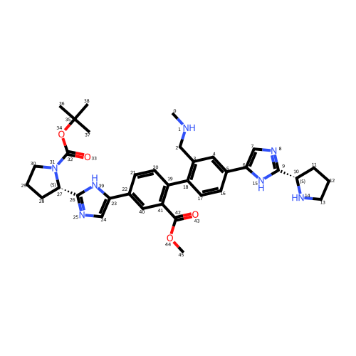 CNCc1cc(-c2cnc([C@@H]3CCCN3)[nH]2)ccc1-c1ccc(-c2cnc([C@@H]3CCCN3C(=O)OC(C)(C)C)[nH]2)cc1C(=O)OC